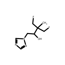 CC(CF)(CF)C(O)Cn1cncn1